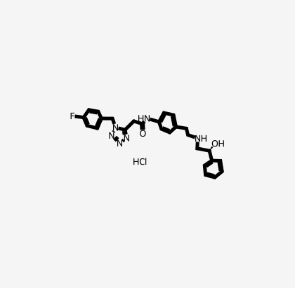 Cl.O=C(Cc1nnnn1Cc1ccc(F)cc1)Nc1ccc(CCNC[C@H](O)c2ccccc2)cc1